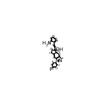 C[C@]12Cc3cnn(-c4ccc(F)cc4)c3C=C1CC[C@@]2(O)C#Cc1ccccc1N